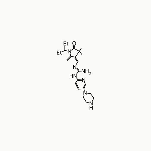 C=C1/C(=C\N=C(/N)Nc2ccc(N3CCNCC3)cn2)C(C)(C)C(=O)N1C(CC)CC